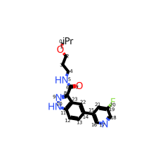 CC(C)OCCCNC(=O)c1n[nH]c2ccc(-c3cncc(F)c3)cc12